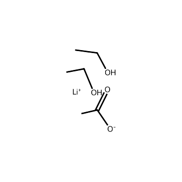 CC(=O)[O-].CCO.CCO.[Li+]